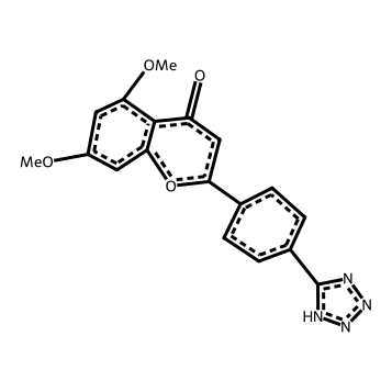 COc1cc(OC)c2c(=O)cc(-c3ccc(-c4nnn[nH]4)cc3)oc2c1